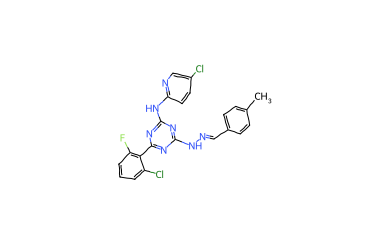 Cc1ccc(C=NNc2nc(Nc3ccc(Cl)cn3)nc(-c3c(F)cccc3Cl)n2)cc1